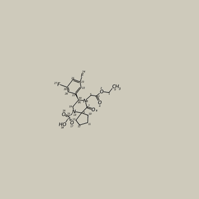 CCOC(=O)CN1C(=O)C2(CCCC2)N(S(=O)(=O)O)C[C@H]1c1cc(F)cc(F)c1